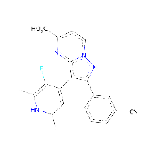 CC1=C(F)C(c2c(-c3cccc(C#N)c3)nn3ccc(C(=O)O)nc23)=CC(C)N1